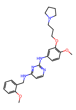 COc1ccccc1CNc1ccnc(Nc2ccc(OC)c(OCCCN3CCCC3)c2)n1